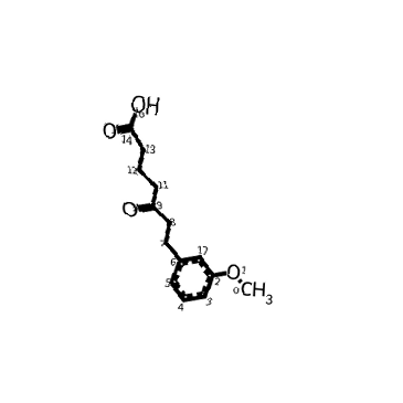 COc1cccc(CCC(=O)CCCC(=O)O)c1